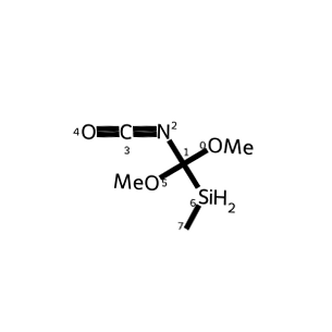 COC(N=C=O)(OC)[SiH2]C